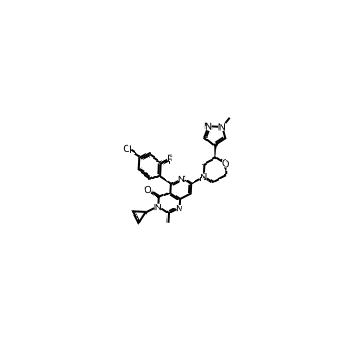 Cc1nc2cc(N3CCO[C@H](c4cnn(C)c4)C3)nc(-c3ccc(Cl)cc3F)c2c(=O)n1C1CC1